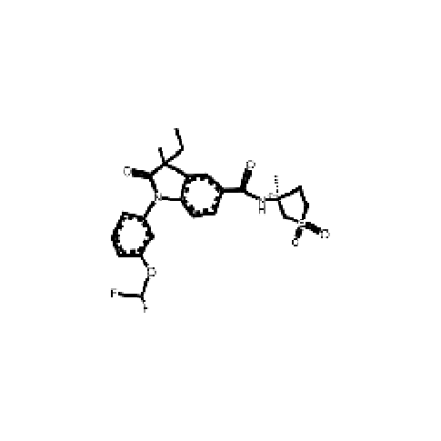 CCC1(C)C(=O)N(c2cccc(OC(F)F)c2)c2ccc(C(=O)N[C@@]3(C)CCS(=O)(=O)C3)cc21